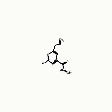 C=CCc1cc(C(=O)NC(C)(C)C)cc(Br)n1